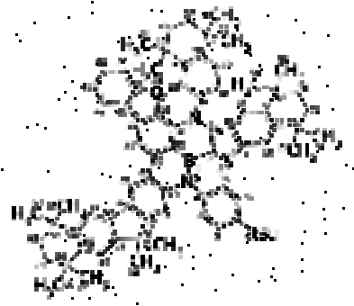 CC(C)(C)c1ccc(N2B3c4sc5cc6c(cc5c4N(c4ccc5c(c4)C(C)(C)CCC5(C)C)c4c3c(cc3c4oc4ccccc43)-c3cc4c(cc32)C(C)(C)c2cc3c(cc2-4)C(C)(C)CCC3(C)C)C(C)(C)CCC6(C)C)cc1